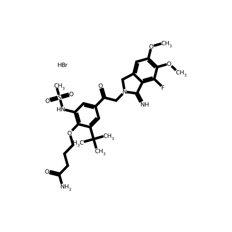 Br.COc1cc2c(c(F)c1OC)C(=N)N(CC(=O)c1cc(NS(C)(=O)=O)c(OCCCC(N)=O)c(C(C)(C)C)c1)C2